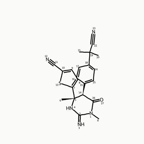 CN1C(=N)N[C@](C)(c2ccc(C#N)s2)[C@@H](c2ccc(C(C)(C)C#N)cc2)C1=O